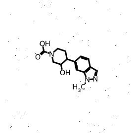 Cn1ncc2ccc(C3CCN(C(=O)O)CC3O)cc21